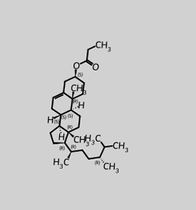 CCC(=O)O[C@H]1CC[C@@]2(C)C(=CC[C@H]3[C@@H]4CC[C@H]([C@H](C)CC[C@@H](C)C(C)C)[C@@]4(C)CC[C@@H]32)C1